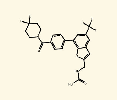 O=C(O)NCc1cc2cc(C(F)(F)F)cc(-c3ccc(C(=O)N4CCC(F)(F)CC4)cc3)c2o1